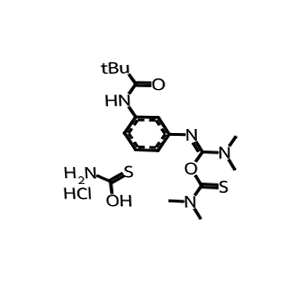 CN(C)C(=S)OC(=Nc1cccc(NC(=O)C(C)(C)C)c1)N(C)C.Cl.NC(O)=S